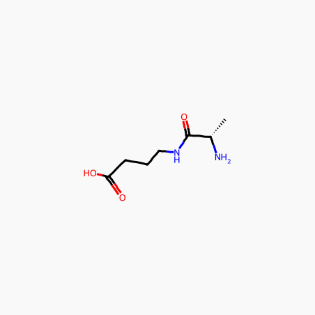 C[C@H](N)C(=O)NCCCC(=O)O